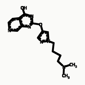 CN(C)CCCCn1cc(Oc2nc(O)c3ccncc3n2)cn1